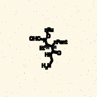 CCCCC[C@@H](C(=O)NCN)[C@@H](CC)N(C=O)OCCCC